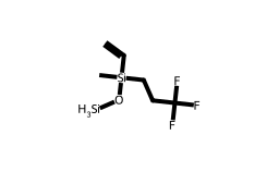 C=C[Si](C)(CCC(F)(F)F)O[SiH3]